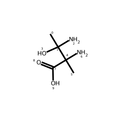 CC(N)(O)C(C)(N)C(=O)O